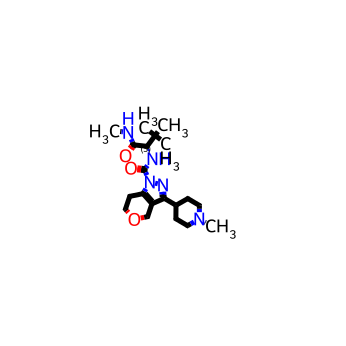 CNC(=O)[C@@H](NC(=O)n1nc(C2CCN(C)CC2)c2c1CCOC2)C(C)(C)C